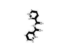 O=C(OC(=O)c1cccnn1)c1cccnn1